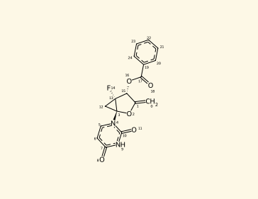 C=C1O[C@]2(n3ccc(=O)[nH]c3=O)C[C@@]2(F)[C@@H]1OC(=O)c1ccccc1